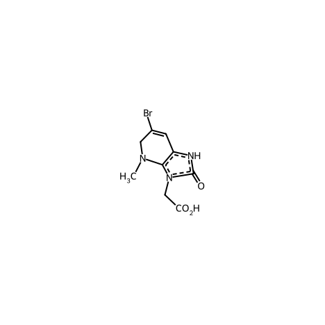 CN1CC(Br)=Cc2[nH]c(=O)n(CC(=O)O)c21